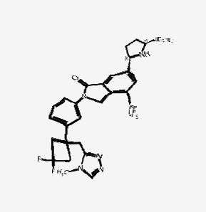 CC[C@@H]1CC[C@H](c2cc3c(c(C(F)(F)F)c2)CN(c2cccc(C4(Cc5nncn5C)CC(F)(F)C4)c2)C3=O)N1